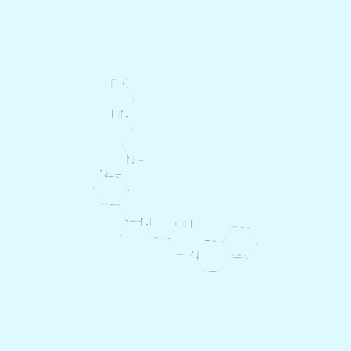 CN(CCNCC(F)(F)F)c1cc(C(=O)NCC(O)CN2CCc3ccccc3C2)ccn1